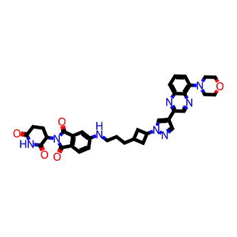 O=C1CCC(N2C(=O)c3ccc(NCCCC4CC(n5cc(-c6cnc7c(N8CCOCC8)cccc7n6)cn5)C4)cc3C2=O)C(=O)N1